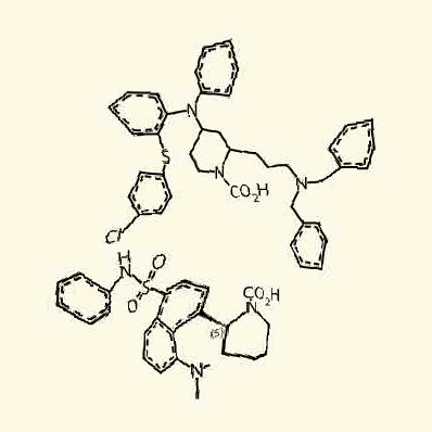 CN(C)c1cccc2c(S(=O)(=O)Nc3ccccc3)ccc([C@@H]3CCCCN3C(=O)O)c12.O=C(O)N1CCC(N(c2ccccc2)c2ccccc2Sc2ccc(Cl)cc2)CC1CCCN(Cc1ccccc1)Cc1ccccc1